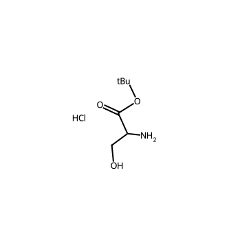 CC(C)(C)OC(=O)C(N)CO.Cl